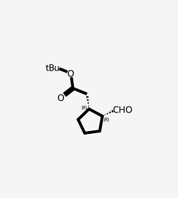 CC(C)(C)OC(=O)C[C@H]1CCC[C@H]1C=O